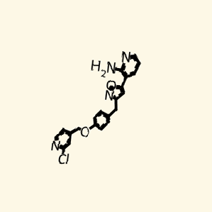 Nc1ncccc1-c1cc(Cc2ccc(OCc3ccnc(Cl)c3)cc2)no1